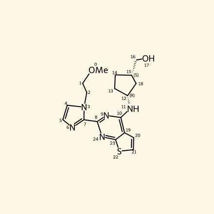 COCCn1ccnc1-c1nc(N[C@@H]2CC[C@H](CO)C2)c2ccsc2n1